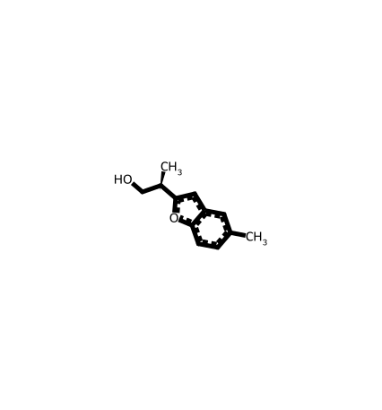 Cc1ccc2oc([C@H](C)CO)cc2c1